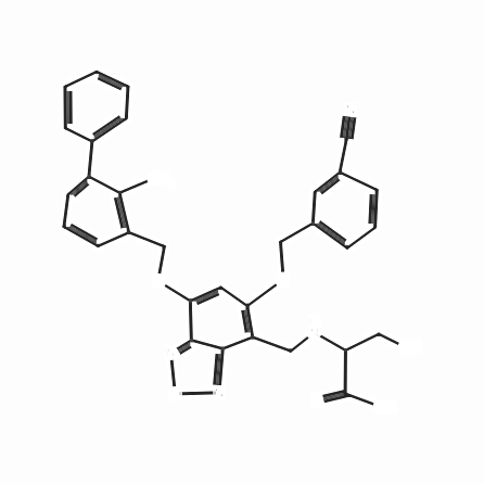 Cc1c(COc2cc(OCc3cccc(C#N)c3)c(CNC(CO)C(=O)O)c3nonc23)cccc1-c1ccccc1